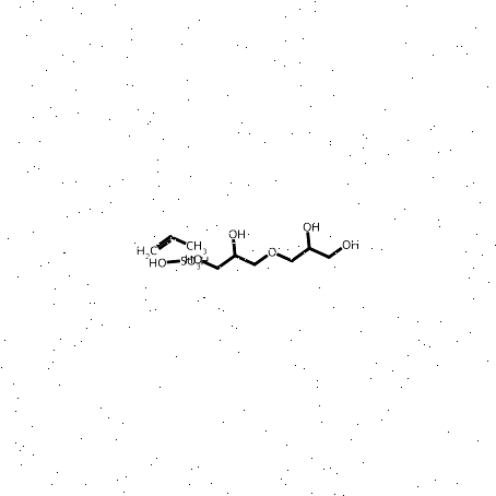 C=CC.O=S(=O)(O)O.OCC(O)COCC(O)CO